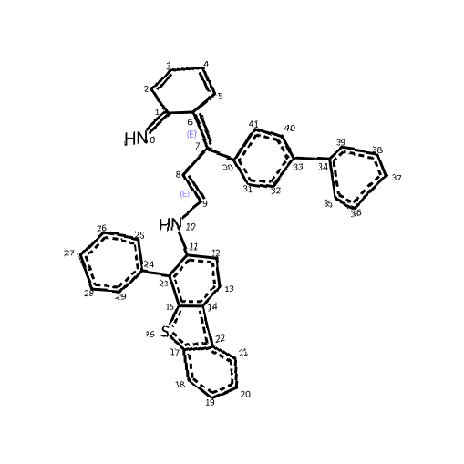 N=C1C=CC=C/C1=C(/C=C/Nc1ccc2c(sc3ccccc32)c1-c1ccccc1)c1ccc(-c2ccccc2)cc1